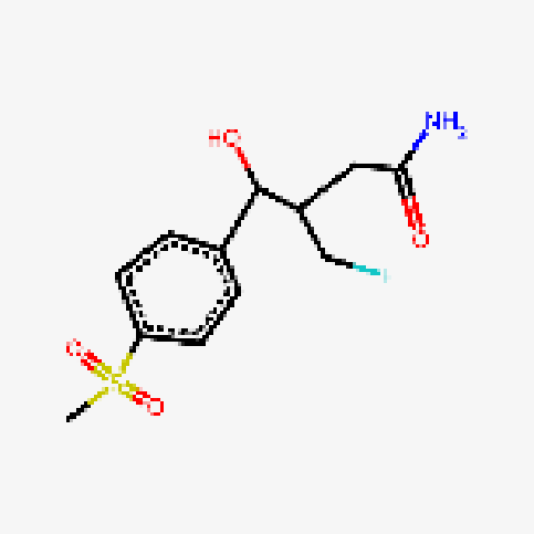 CS(=O)(=O)c1ccc(C(O)C(CF)CC(N)=O)cc1